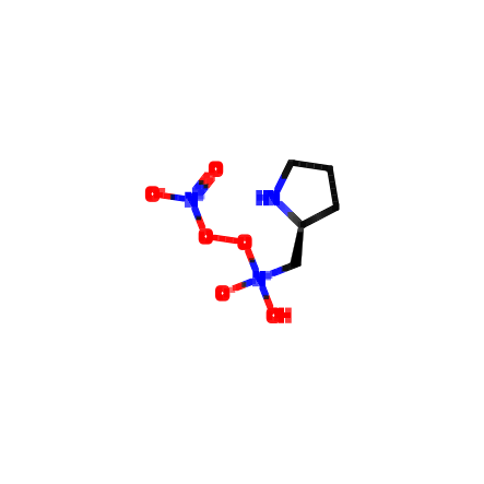 O=[N+]([O-])OO[N+]([O-])(O)C[C@@H]1CCCN1